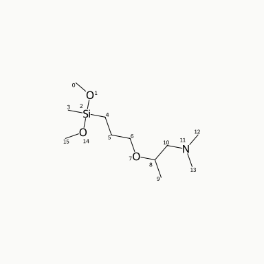 CO[Si](C)(CCCOC(C)CN(C)C)OC